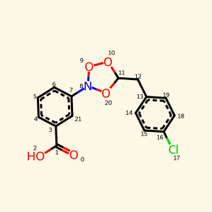 O=C(O)c1cccc(N2OOC(Cc3ccc(Cl)cc3)O2)c1